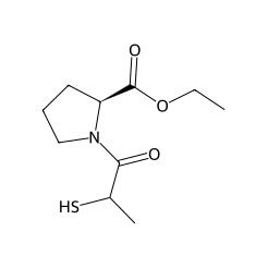 CCOC(=O)[C@@H]1CCCN1C(=O)C(C)S